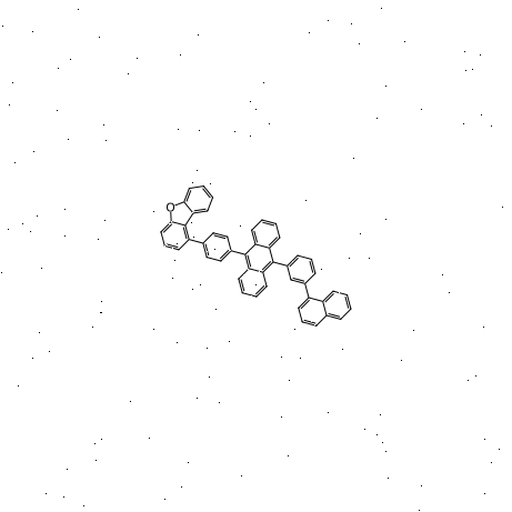 c1cc(-c2cccc3ccccc23)cc(-c2c3ccccc3c(-c3ccc(-c4cccc5oc6ccccc6c45)cc3)c3ccccc23)c1